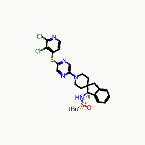 CC(C)(C)[S@@+]([O-])N[C@@H]1c2ccccc2CC12CCN(c1cnc(Sc3ccnc(Cl)c3Cl)cn1)CC2